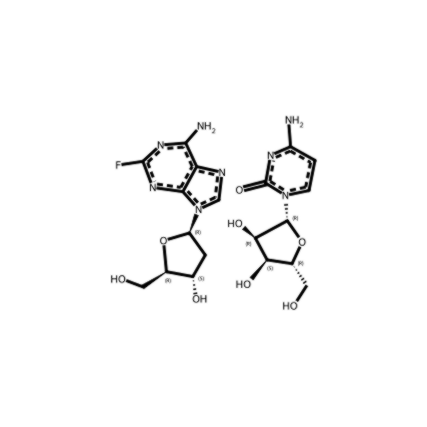 Nc1ccn([C@@H]2O[C@H](CO)[C@@H](O)[C@H]2O)c(=O)n1.Nc1nc(F)nc2c1ncn2[C@H]1C[C@H](O)[C@@H](CO)O1